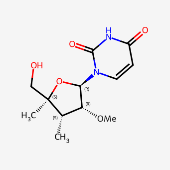 CO[C@H]1[C@H](n2ccc(=O)[nH]c2=O)O[C@](C)(CO)[C@H]1C